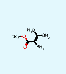 BC(B)=C(B)C(=O)OC(C)(C)C